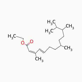 CCOC(=O)C=C(C)C=CCCC(C)CCC(C)C(C)C